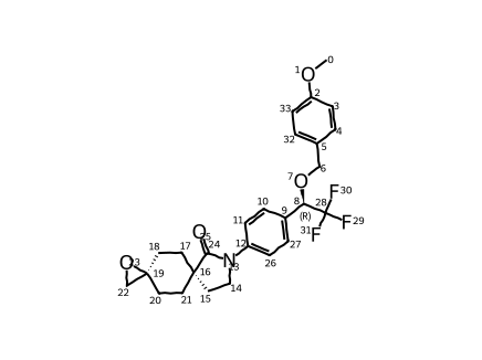 COc1ccc(CO[C@H](c2ccc(N3CC[C@]4(CC[C@]5(CC4)CO5)C3=O)cc2)C(F)(F)F)cc1